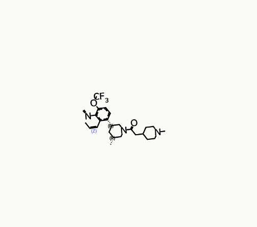 C=Nc1c(OC(F)(F)F)ccc([C@H]2C[C@@H](C)CN(C(=O)CC3CCN(C)CC3)C2)c1/C=C\C